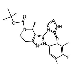 CC1=CC(n2nc3c(c2-n2cc[nH]c2=O)[C@H](C)N(C(=O)OC(C)(C)C)CC3)C(C)C(C)=C1F